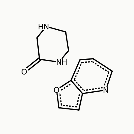 O=C1CNCCN1.c1cnc2ccoc2c1